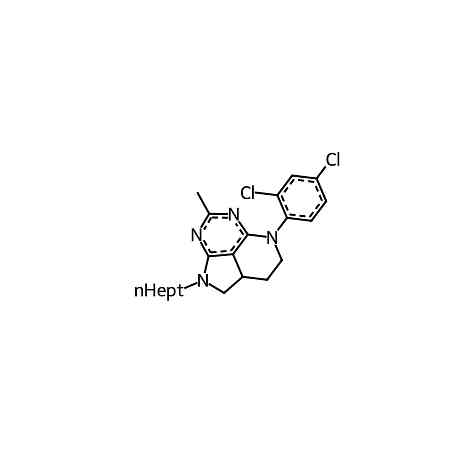 CCCCCCCN1CC2CCN(c3ccc(Cl)cc3Cl)c3nc(C)nc1c32